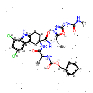 CCNC(=O)Nc1nnc([C@@H](NC(=O)[C@@]2(NC(=O)C(NC(=O)OCc3ccccc3)C(C)CC)CCc3[nH]c4c(Cl)cc(Cl)cc4c3C2)[C@@H](C)CC)o1